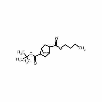 CCCCOC(=O)C1CC2CC1CC2C(=O)OC(C)(C)C